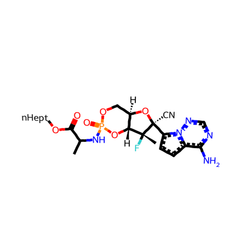 CCCCCCCOC(=O)C(C)NP1(=O)OC[C@H]2O[C@@](C#N)(c3ccc4c(N)ncnn34)[C@](C)(F)[C@@H]2O1